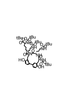 CC(C)(C)OC(=O)NCCC[C@@H]1NC(=O)[C@@H](NC(=O)OC(C)(C)C)Cc2cc(ccc2O)-c2ccc(O)c(c2)C[C@@H](C(=O)N(CCCC(NC(=O)OC(C)(C)C)C(=O)OC(C)(C)C)CCNC(=O)OC(C)(C)C)NC1=O